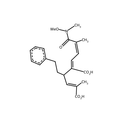 CON(C)C(=O)C(C)=CC=C(C(=O)O)C(C=C(C)C(=O)O)CCc1ccccc1